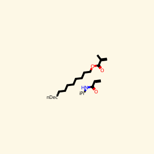 C=C(C)C(=O)OCCCCCCCCCCCCCCCCCC.C=CC(=O)NC(C)C